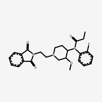 CCC(=O)N(c1ccccc1F)C1CCN(CCN2C(=O)c3ccccc3C2=O)CC1OC